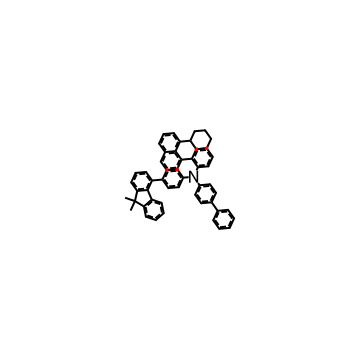 CC1(C)c2ccccc2-c2c(-c3ccc(N(c4ccc(-c5ccccc5)cc4)c4ccccc4-c4cccc5cccc(C6CCCCC6)c45)cc3)cccc21